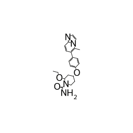 CCOC1CC(Oc2ccc(-c3ccc4nccn4c3C)cc2)CCN1C(N)=O